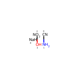 N#CN.O=[N+]([O-])O.[NaH]